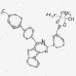 Cc1ccc(-c2ccc(-c3nc(-c4cccc(B5OC(C)(C)C(C)(C)O5)c4)nc4c3sc3ccccc34)cc2)cc1